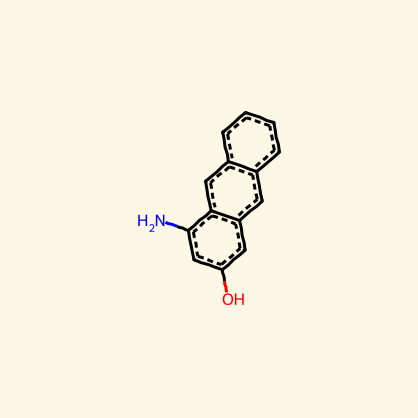 Nc1cc(O)cc2cc3ccccc3cc12